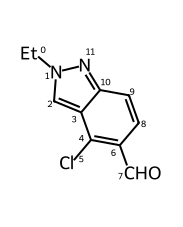 CCn1cc2c(Cl)c(C=O)ccc2n1